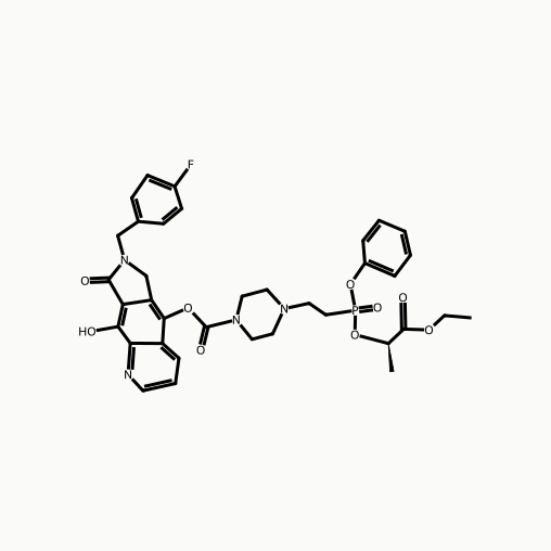 CCOC(=O)[C@@H](C)OP(=O)(CCN1CCN(C(=O)Oc2c3c(c(O)c4ncccc24)C(=O)N(Cc2ccc(F)cc2)C3)CC1)Oc1ccccc1